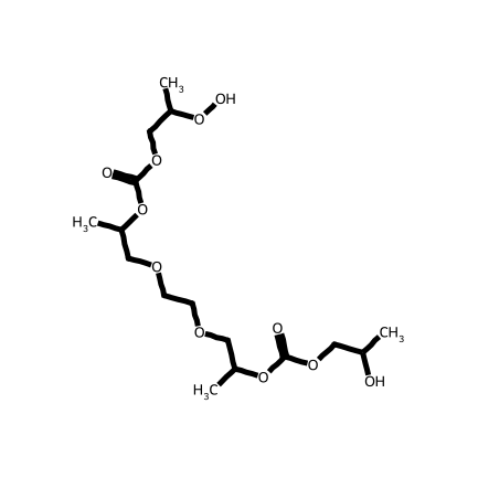 CC(O)COC(=O)OC(C)COCCOCC(C)OC(=O)OCC(C)OO